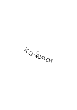 CC(C)N(C)Cc1ccc(CCn2ccc(OCc3ccc(F)cc3)cc2=O)cc1